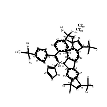 CC(C)(C)C1=CC(C)(C)c2cc3c(cc21)-c1cc2c(cc1[CH]3[Zr+2]([C]1=CC=CC1)=[C](c1ccc(C(F)(F)F)cc1)c1ccc(C(F)(F)F)cc1)C(C)(C)C=C2C(C)(C)C.[Cl-].[Cl-]